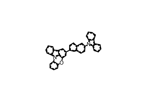 c1ccc2c(c1)Oc1cc(-c3ccc4cc(-n5c6ccccc6c6ccccc65)ccc4c3)cc3c4ccccc4n-2c13